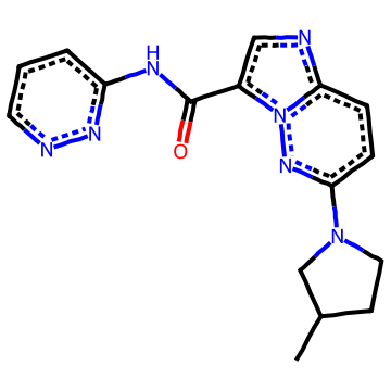 CC1CCN(c2ccc3ncc(C(=O)Nc4cccnn4)n3n2)C1